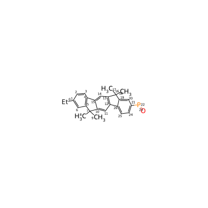 CCc1ccc2c(c1)C(C)(C)c1cc3c(cc1-2)C(C)(C)c1cc(P=O)ccc1-3